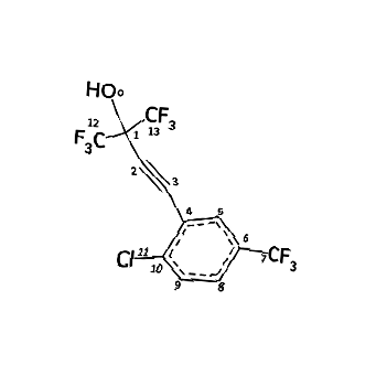 OC(C#Cc1cc(C(F)(F)F)ccc1Cl)(C(F)(F)F)C(F)(F)F